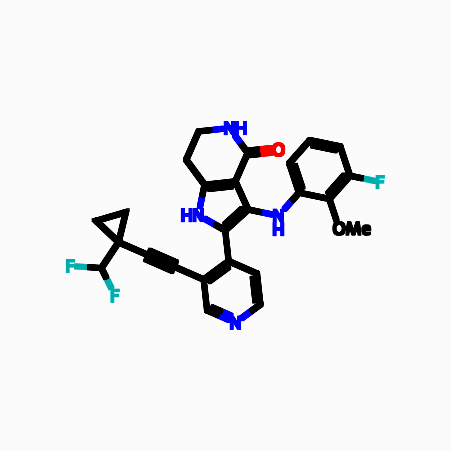 COc1c(F)cccc1Nc1c(-c2ccncc2C#CC2(C(F)F)CC2)[nH]c2c1C(=O)NCC2